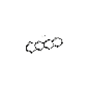 [H+].[c]1cccc2cc3cc4ccccc4cc3cc12